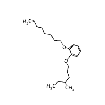 C=CCCCCCCOc1c[c]ccc1OCCCC(C)CC